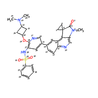 CN1C(=O)C2(CC2)c2c1cnc1ccc(-c3cnc(OC4CC(N(C)C)C4)c(NS(=O)(=O)c4ccccc4)c3)cc21